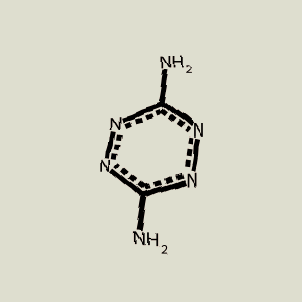 Nc1nnc(N)nn1